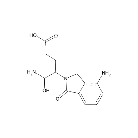 Nc1cccc2c1CN(C(CCC(=O)O)C(N)O)C2=O